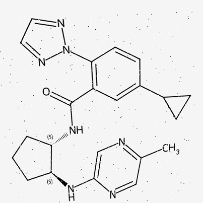 Cc1cnc(N[C@H]2CCC[C@@H]2NC(=O)c2cc(C3CC3)ccc2-n2nccn2)cn1